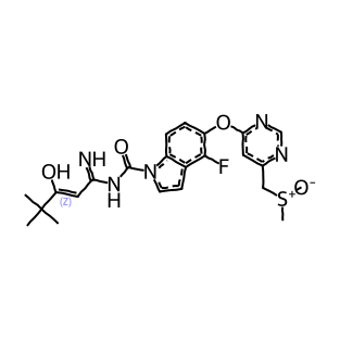 C[S+]([O-])Cc1cc(Oc2ccc3c(ccn3C(=O)NC(=N)/C=C(\O)C(C)(C)C)c2F)ncn1